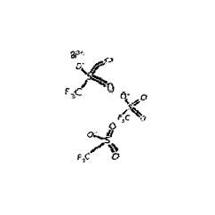 O=S(=O)([O-])C(F)(F)F.O=S(=O)([O-])C(F)(F)F.O=S(=O)([O-])C(F)(F)F.[Bi+3]